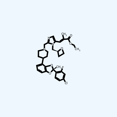 CCOC(=O)/C(C)=C/c1cnc(CN2CCC(c3cccc4c3O[C@](C)(c3ccc(Cl)cc3F)O4)CC2)n1C[C@@H]1CCO1